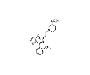 Cc1ccccc1C(=NOCCN1CCC[C@H](C(=O)O)C1)c1sccc1C